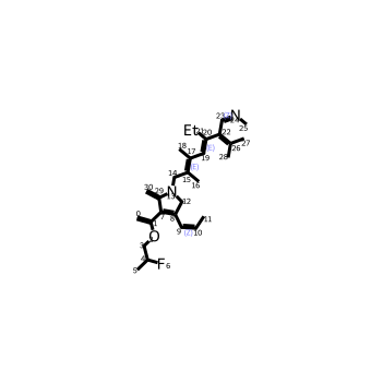 C=C(OCC(C)F)C1=C(/C=C\C)CN(C/C(C)=C(C)/C=C(\CC)C(/C=N\C)=C(C)C)C1=C